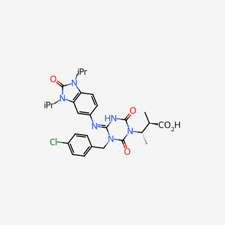 CC(C)n1c(=O)n(C(C)C)c2cc(/N=c3\[nH]c(=O)n([C@@H](C)[C@@H](C)C(=O)O)c(=O)n3Cc3ccc(Cl)cc3)ccc21